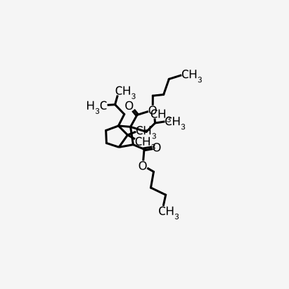 CCCCOC(=O)C1C2CCC(CC(C)C)(C2(C)C)C1(CC(C)C)C(=O)OCCCC